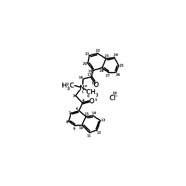 C[N+](C)(CC(=O)c1cccc2ccccc12)CC(=O)c1cccc2ccccc12.[Cl-]